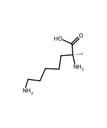 C[C@](N)(CCCCCN)C(=O)O